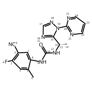 Cc1cc(F)c(C#N)cc1NC(=O)N[C@@H](C)c1ncnn1-c1ncccn1